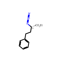 CCOC(=O)[C@H](CCc1ccccc1)N=[N+]=[N-]